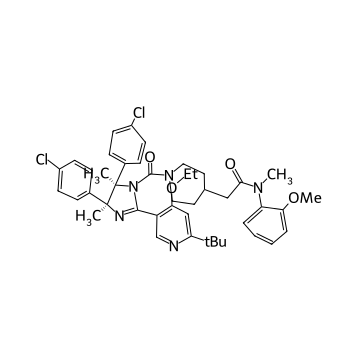 CCOc1cc(C(C)(C)C)ncc1C1=N[C@@](C)(c2ccc(Cl)cc2)[C@@](C)(c2ccc(Cl)cc2)N1C(=O)N1CCC(CC(=O)N(C)c2ccccc2OC)CC1